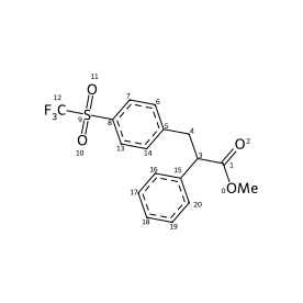 COC(=O)C(Cc1ccc(S(=O)(=O)C(F)(F)F)cc1)c1ccccc1